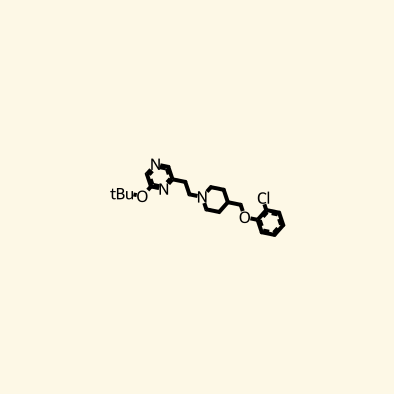 CC(C)(C)Oc1cncc(CCN2CCC(COc3ccccc3Cl)CC2)n1